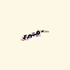 COCCOc1cc2[nH]nc(-c3cc(-c4ccc(C(=O)N5CCC5C(C)(C)O)nc4)no3)c2cc1F